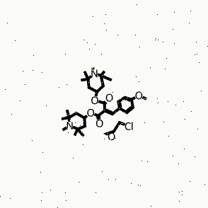 COc1ccc(C=C(C(=O)OC2CC(C)(C)N(C)C(C)(C)C2)C(=O)OC2CC(C)(C)N(C)C(C)(C)C2)cc1.ClCC1CO1